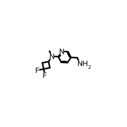 CN(c1ccc(CN)cn1)C1CC(F)(F)C1